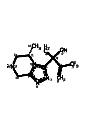 C=C(C(F)(F)F)C(C)(O)c1nnc2n1[C@@H](C)CNC2